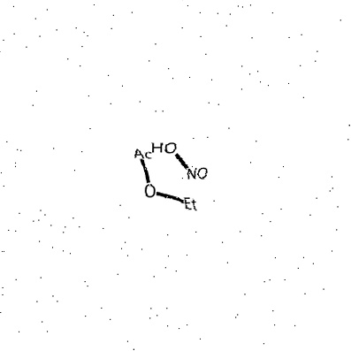 CCOC(C)=O.O=NO